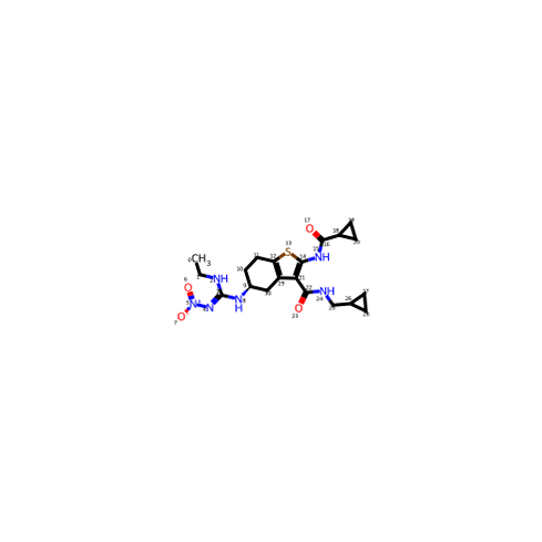 CCN/C(=N\[N+](=O)[O-])N[C@H]1CCc2sc(NC(=O)C3CC3)c(C(=O)NCC3CC3)c2C1